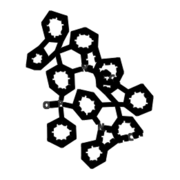 O=P(c1ccccc1)(c1ccc2c(c1)-n1c3ccccc3c3cccc(c31)C21c2ccccc2-c2ccccc21)c1ccc2c(c1)-n1c3ccccc3c3cccc(c31)C21c2ccccc2-c2ccccc21